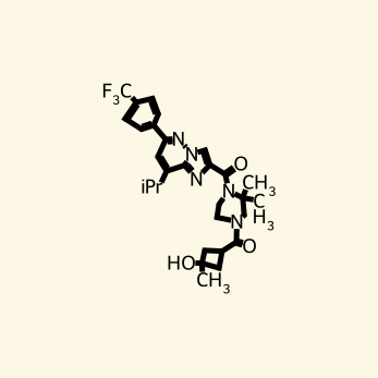 CC(C)c1cc(-c2ccc(C(F)(F)F)cc2)nn2cc(C(=O)N3CCN(C(=O)C4CC(C)(O)C4)CC3(C)C)nc12